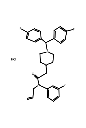 C=CCN(C(=O)CN1CCN(C(c2ccc(F)cc2)c2ccc(F)cc2)CC1)c1cccc(F)c1.Cl